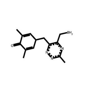 BCc1nc(C)nnc1CC1C=C(C)C(=O)C(C)=C1